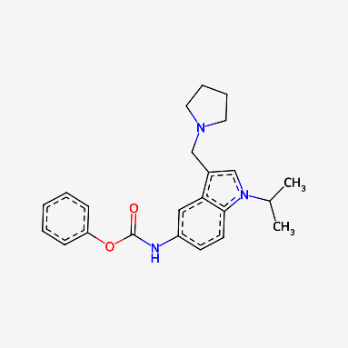 CC(C)n1cc(CN2CCCC2)c2cc(NC(=O)Oc3ccccc3)ccc21